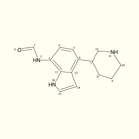 O=CNc1ccc(C2CCCNC2)c2cc[nH]c12